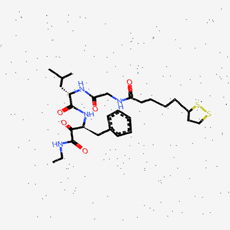 CCNC(=O)C(=O)[C@H](Cc1ccccc1)NC(=O)[C@H](CC(C)C)NC(=O)CNC(=O)CCCCC1CCSS1